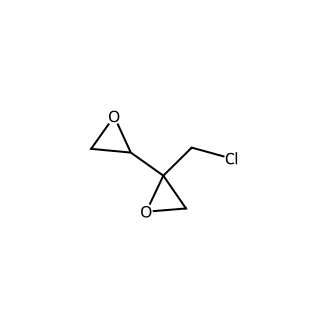 ClCC1(C2CO2)CO1